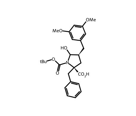 COc1cc(C[C@H]2C[C@@](Cc3ccccc3)(C(=O)O)N(C(=O)OC(C)(C)C)C2O)cc(OC)c1